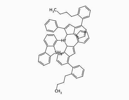 CCCCc1ccccc1-c1cccc2c1C=C(c1ccccc1)[CH]2[Hf]([c]1cccc2c1[SiH2]c1ccccc1-2)[CH]1C(c2ccccc2)=Cc2c(-c3ccccc3CCCC)cccc21